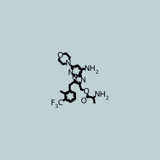 Cc1c(Cc2c(COC(=O)C(C)N)nc3c(N)cc(N4CCOCC4)nn23)cccc1C(F)(F)F